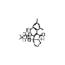 CCc1cc(C)cc(C)c1C1=C(OP2(=O)OC(C)(C)O2)[C@H]2CCCC[C@H]2C1=O